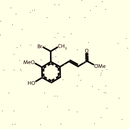 COC(=O)C=Cc1ccc(O)c(OC)c1C(C)Br